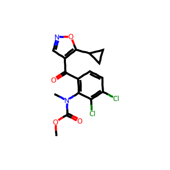 COC(=O)N(C)c1c(C(=O)c2cnoc2C2CC2)ccc(Cl)c1Cl